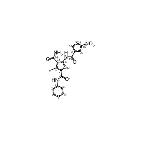 Cc1c(C(=O)Nc2ccccc2)sc(NC(=O)c2csc([N+](=O)[O-])c2)c1C(N)=O